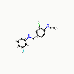 CCOC(=O)Nc1ccc(CNc2cccc(F)c2)cc1Cl